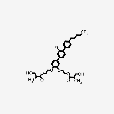 C=C(CO)C(=O)OCCOc1ccc(-c2ccc(-c3ccc(CCCCC(F)(F)F)cc3)c(CC)c2)cc1OCCOC(=O)C(=C)CO